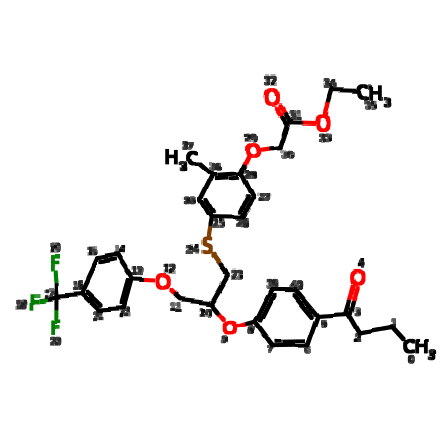 CCCC(=O)c1ccc(OC(COc2ccc(C(F)(F)F)cc2)CSc2ccc(OCC(=O)OCC)c(C)c2)cc1